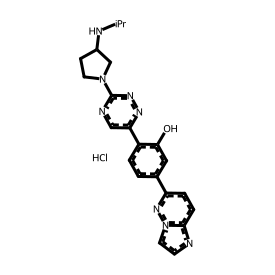 CC(C)NC1CCN(c2ncc(-c3ccc(-c4ccc5nccn5n4)cc3O)nn2)C1.Cl